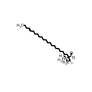 CCCC=CCCCCCCCCCCCCCCCCCC(CC)(P(=O)=O)[N+](C)(C)C